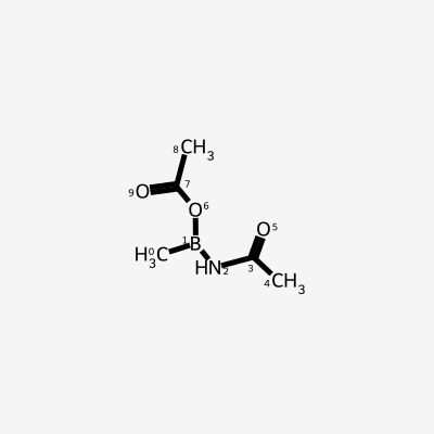 CB(NC(C)=O)OC(C)=O